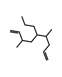 C=CCC(C)C(CCC)CC(C)C=C